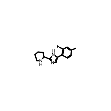 Cc1ccc(-c2cnc(C3CCCCN3)[nH]2)c(F)c1